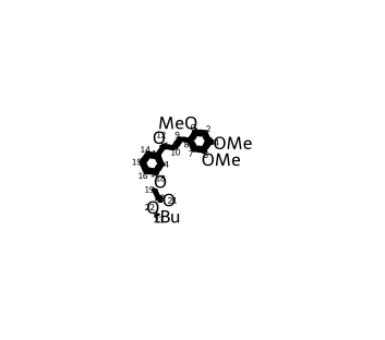 COc1cc(OC)c(OC)cc1/C=C/C(=O)c1cccc(OCC(=O)OC(C)(C)C)c1